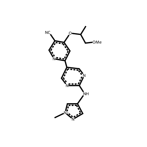 COCC(C)Oc1cc(-c2cnc(Nc3cnn(C)c3)nc2)ncc1C#N